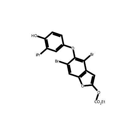 CCOC(=O)Oc1cc2c(Br)c(Oc3ccc(O)c(C(C)C)c3)c(Br)cc2o1